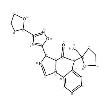 CC1(N2C(=O)C3C(c4nc(C5CCCO5)no4)N=CN3c3ccccc32)CCCO1